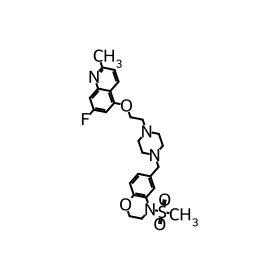 Cc1ccc2c(OCCN3CCN(Cc4ccc5c(c4)N(S(C)(=O)=O)CCO5)CC3)cc(F)cc2n1